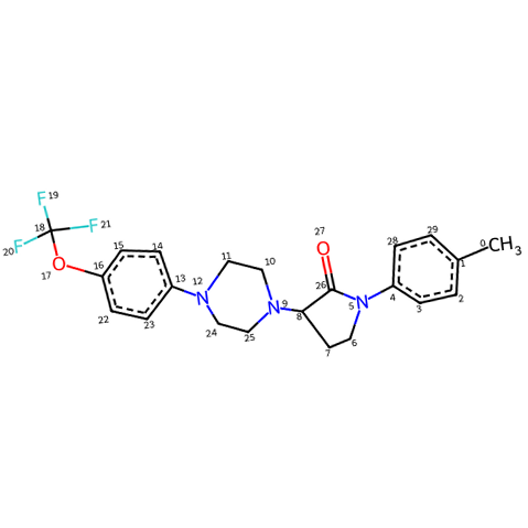 Cc1ccc(N2CCC(N3CCN(c4ccc(OC(F)(F)F)cc4)CC3)C2=O)cc1